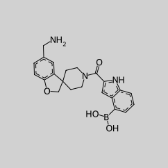 NCc1ccc2c(c1)C1(CCN(C(=O)c3cc4c(B(O)O)cccc4[nH]3)CC1)CO2